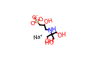 O=S(=O)([O-])CC(O)CNC(CO)(CO)CO.[Na+]